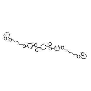 O=C(Oc1ccc(OCCCCCCOC2CCCCO2)cc1)C1CCC(C(=O)Oc2ccc(OCCCCCOC3CCCCO3)cc2)CC1